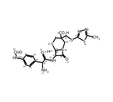 Cc1nnc(SCC2(C(=O)O)CS[C@@H]3C(NC(=O)C(N)c4ccc(NC=O)cc4)C(=O)N3C2)s1